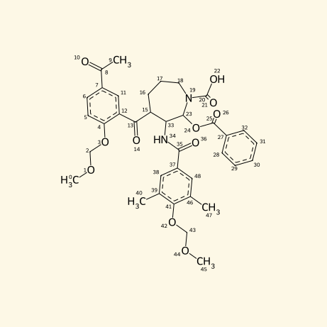 COCOc1ccc(C(C)=O)cc1C(=O)C1CCCN(C(=O)O)C(OC(=O)c2ccccc2)C1NC(=O)c1cc(C)c(OCOC)c(C)c1